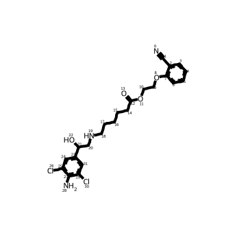 N#Cc1ccccc1OCCOC(=O)CCCCCNCC(O)c1cc(Cl)c(N)c(Cl)c1